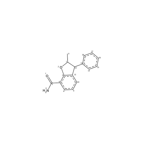 CC1Oc2c(C(N)=O)cccc2C1c1ccccc1